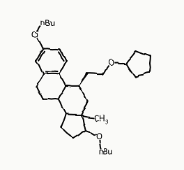 CCCCOc1ccc2c(c1)CCC1C2[C@@H](CCOC2CCCC2)CC2(C)C(OCCCC)CCC12